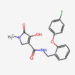 CN1CC(C(=O)NCc2ccccc2Oc2ccc(F)cc2)=C(O)C1=O